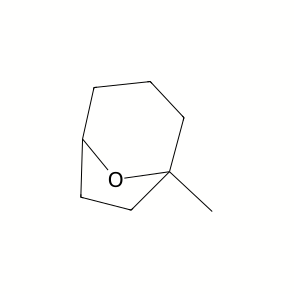 CC12CCCC(CC1)O2